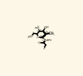 O=C(CI)N[C@@H]1OC(CO)[C@@H](O)C(O)C1O